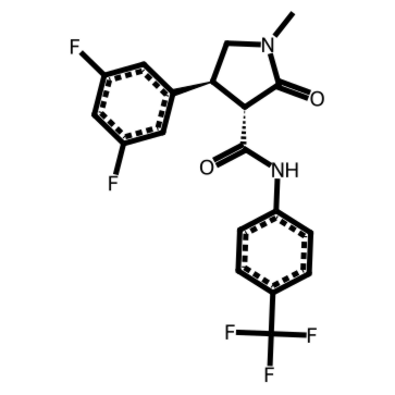 CN1C[C@H](c2cc(F)cc(F)c2)[C@@H](C(=O)Nc2ccc(C(F)(F)F)cc2)C1=O